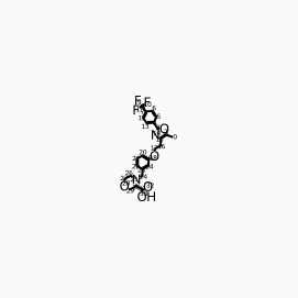 Cc1oc(-c2ccc(C(F)(F)F)cc2)nc1CCOc1cccc(CN2CCOCC2C(=O)O)c1